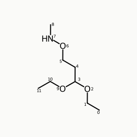 CCOC(CCONC)OCC